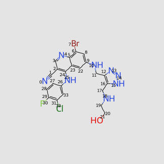 N#Cc1cnc2c(Br)cc(NCc3nn[nH]c3CNCCO)cc2c1Nc1ccc(F)c(Cl)c1